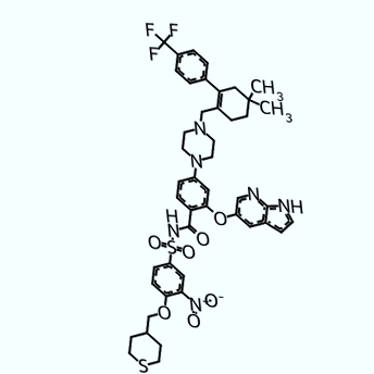 CC1(C)CCC(CN2CCN(c3ccc(C(=O)NS(=O)(=O)c4ccc(OCC5CCSCC5)c([N+](=O)[O-])c4)c(Oc4cnc5[nH]ccc5c4)c3)CC2)=C(c2ccc(C(F)(F)F)cc2)C1